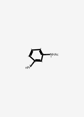 CCCc1[c]ccc(NC(C)=O)c1